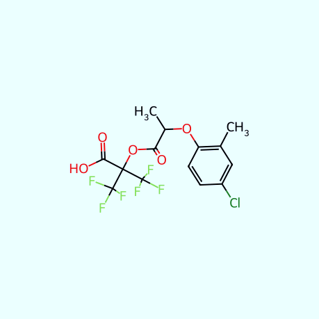 Cc1cc(Cl)ccc1OC(C)C(=O)OC(C(=O)O)(C(F)(F)F)C(F)(F)F